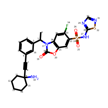 CC(c1cccc(C#CC2(N)CCCCC2)c1)n1c(=O)oc2cc(S(=O)(=O)Nc3ncns3)c(F)cc21